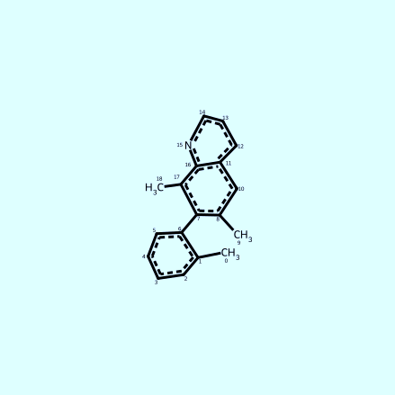 Cc1ccccc1-c1c(C)cc2cccnc2c1C